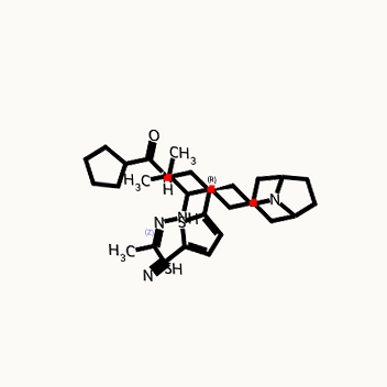 C/C(S)=N/NC(CCC1CC2CCC(C1)N2CC[C@H](CNC(=O)C1CCCC1)c1ccc(C#N)s1)C(C)C